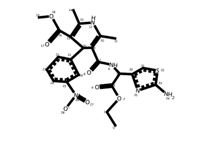 CCOC(=O)C(NC(=O)C1=C(C)NC(C)=C(C(=O)OC)C1c1cccc([N+](=O)[O-])c1)c1csc(N)n1